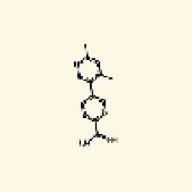 Cc1cc(C)c(-c2ccc(C(=N)N)cc2)cn1